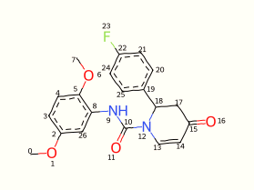 COc1ccc(OC)c(NC(=O)N2C=CC(=O)CC2c2ccc(F)cc2)c1